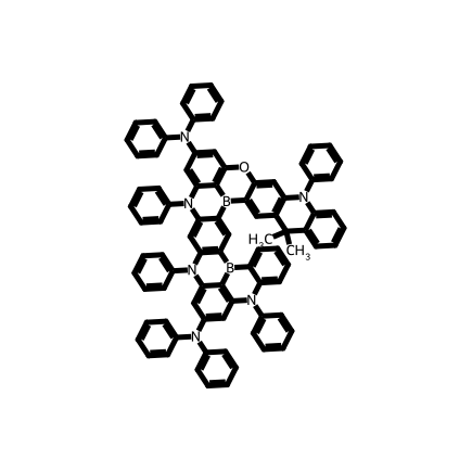 CC1(C)c2ccccc2N(c2ccccc2)c2cc3c(cc21)B1c2cc4c(cc2N(c2ccccc2)c2cc(N(c5ccccc5)c5ccccc5)cc(c21)O3)N(c1ccccc1)c1cc(N(c2ccccc2)c2ccccc2)cc2c1B4c1ccccc1N2c1ccccc1